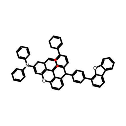 C1=CCCC(c2ccc(C(c3ccc(-c4cccc5c4oc4ccccc45)cc3)c3cccc4c3C3=CC=CC5CC(N(c6ccccc6)c6ccccc6)=CC(=C35)O4)cc2)=C1